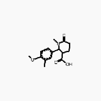 COc1ccc(C2C(C(=O)O)CCC(=O)N2C)cc1C